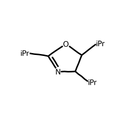 CC(C)C1=NC(C(C)C)C(C(C)C)O1